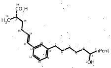 CCCCCC(O)CCCCCc1cccc(C=CCCC(C)C(=O)O)c1